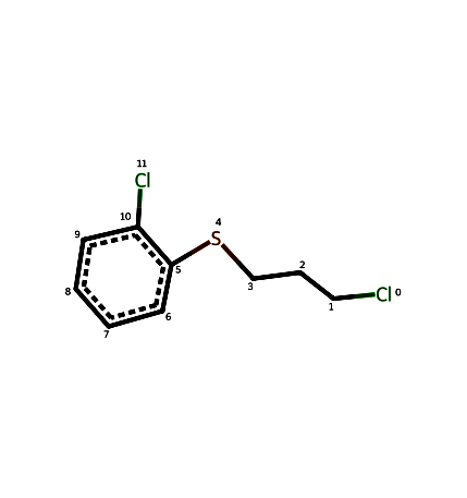 ClCCCSc1ccccc1Cl